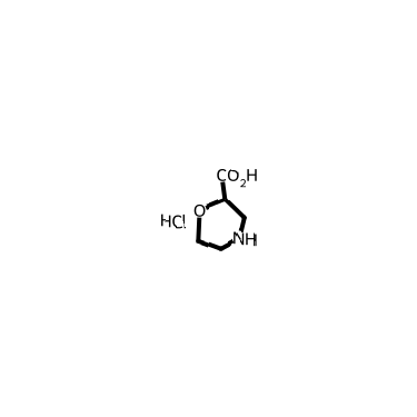 Cl.O=C(O)C1CNCCO1